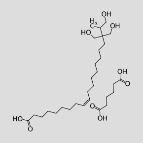 CC(CO)C(CO)(CO)CCCCCCCC/C=C\CCCCCCCC(=O)O.O=C(O)CCCCC(=O)O